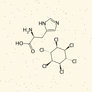 Cl[C@H]1[C@H](Cl)[C@@H](Cl)[C@@H](Cl)[C@H](Cl)[C@H]1Cl.N[C@@H](Cc1cnc[nH]1)C(=O)O